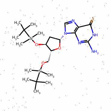 CC(C)(C)[Si](C)(C)OC[C@H]1O[C@@H](n2cnc3c(=S)[nH]c(N)nc32)C[C@@H]1O[Si](C)(C)C(C)(C)C